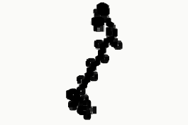 O=C=C(CCC(=O)CCC(=O)CCC(=O)CCC(=O)CCC(=O)CCOc1cccc2c1C(=O)N(C1CCC(=O)NC1=O)C2=O)N1CCN(CCCN2c3ccccc3Sc3ccc(Cl)cc32)CC1